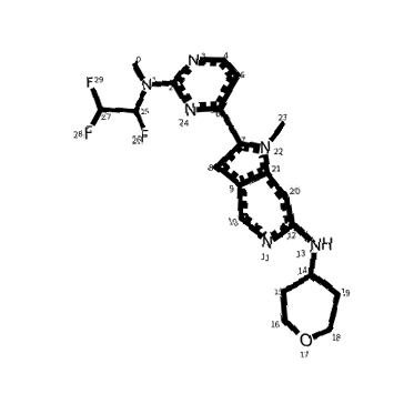 CN(c1nccc(-c2cc3cnc(NC4CCOCC4)cc3n2C)n1)C(F)C(F)F